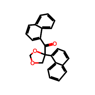 O=C(c1cccc2ccccc12)C1(c2cccc3ccccc23)COCO1